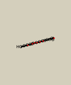 C=C(C)C(=O)OCCOCCOCCOCCOCCCOCCCOCCCOCCCOCCCOCCCOCCCO